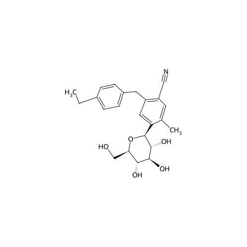 CCc1ccc(Cc2cc([C@@H]3O[C@H](CO)[C@@H](O)[C@H](O)[C@H]3O)c(C)cc2C#N)cc1